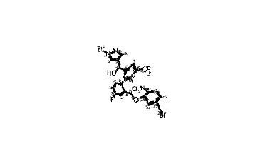 CCn1cc(C(O)c2cc(C(F)(F)F)nn2-c2ccc(F)cc2COc2cc(Br)cnc2[N+](=O)[O-])cn1